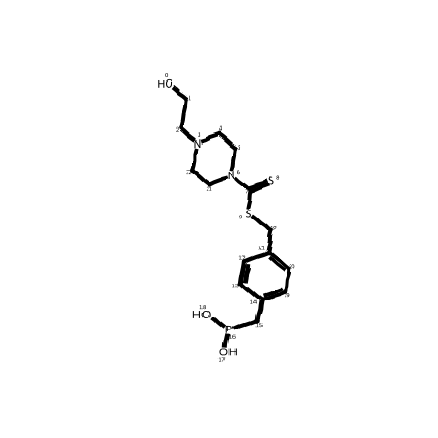 OCCN1CCN(C(=S)SCc2ccc(CP(O)O)cc2)CC1